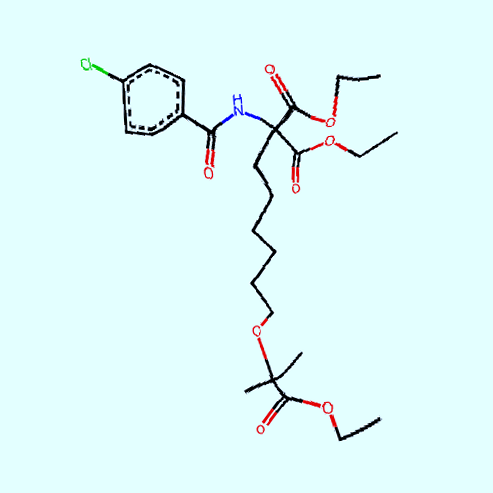 CCOC(=O)C(C)(C)OCCCCCCC(NC(=O)c1ccc(Cl)cc1)(C(=O)OCC)C(=O)OCC